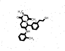 C=C1CN(C)C(=O)C2CC=C(Nc3ccccc3C)C(c3cccc(CCS)c3)N12